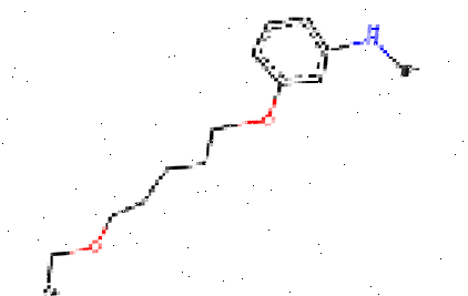 CC(=O)COCCCCCOc1cccc(NC(C)C)c1